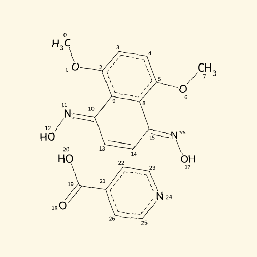 COc1ccc(OC)c2c1C(=NO)C=CC2=NO.O=C(O)c1ccncc1